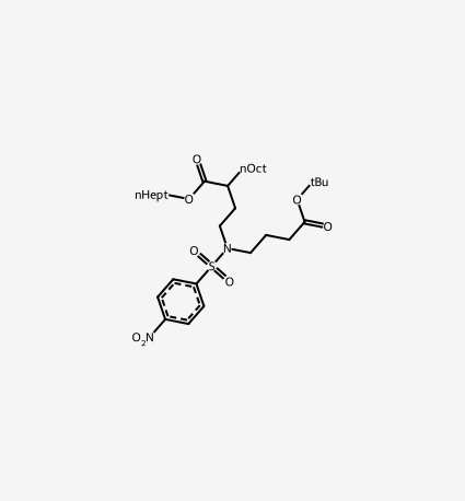 CCCCCCCCC(CCN(CCCC(=O)OC(C)(C)C)S(=O)(=O)c1ccc([N+](=O)[O-])cc1)C(=O)OCCCCCCC